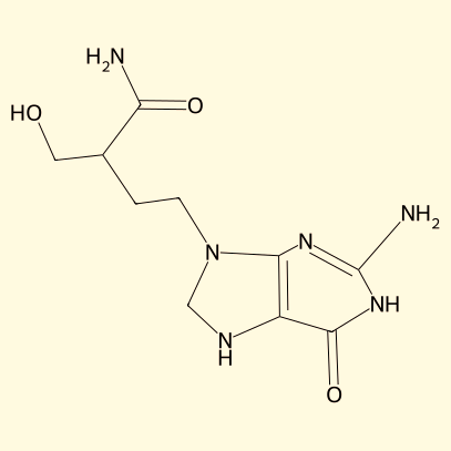 NC(=O)C(CO)CCN1CNc2c1nc(N)[nH]c2=O